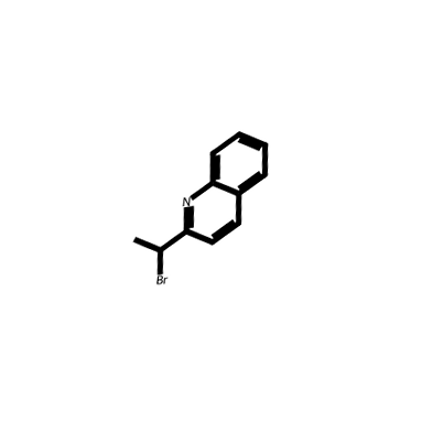 CC(Br)c1ccc2ccccc2n1